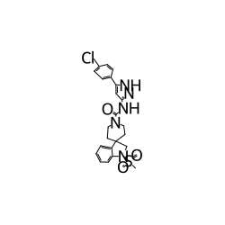 CS(=O)(=O)N1CC2(CCN(C(=O)Nc3cc(-c4ccc(Cl)cc4)[nH]n3)CC2)c2ccccc21